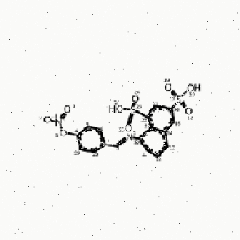 O=[N+]([O-])Oc1ccc(C=Nc2cccc3cc(S(=O)(=O)O)cc(S(=O)(=O)O)c23)cc1